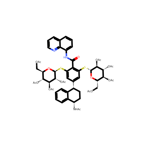 CC(=O)N[C@H]1CC[C@@H](c2cc(S[C@H]3O[C@@H](COC(C)=O)[C@H](OC(C)=O)[C@@H](OC(C)=O)[C@@H]3OC(C)=O)c(C(=O)Nc3cccc4cccnc34)c(S[C@@H]3O[C@H](COC(C)=O)[C@@H](OC(C)=O)[C@H](OC(C)=O)[C@H]3OC(C)=O)c2)c2ccccc21